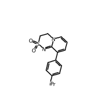 CC(C)c1ccc(C2=CC=CN3CCS(=O)(=O)N=C23)cc1